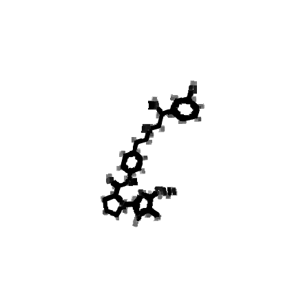 CCOC(=O)c1sc(N2CCCC2C(=O)Nc2ccc(CCNCC(O)c3cccc(Cl)c3)cc2)nc1C